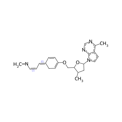 C=N/C=C\C=C1\C=CC(OCC2OC(n3ccc4c(C)ncnc43)CC2C)=CC1